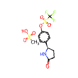 CS(=O)(=O)O.O=C1CC[C@H](c2ccc(OS(=O)(=O)C(F)(F)F)cc2)N1